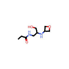 CCC(=O)NCC(CO)NC1COC1